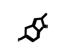 CC1C=C2CC(F)=CC=C2N1